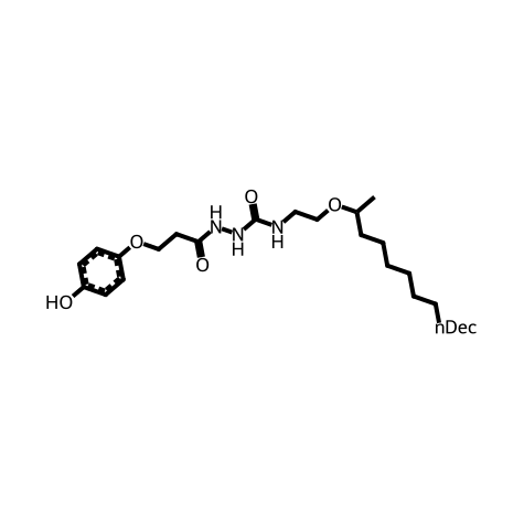 CCCCCCCCCCCCCCCCC(C)OCCNC(=O)NNC(=O)CCOc1ccc(O)cc1